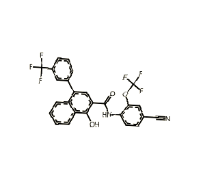 N#Cc1ccc(NC(=O)c2cc(-c3cccc(C(F)(F)F)c3)c3ccccc3c2O)c(OC(F)(F)F)c1